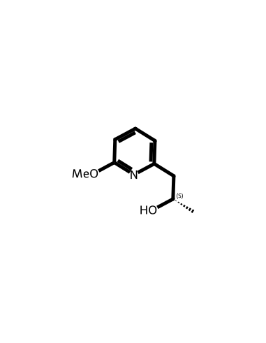 COc1cccc(C[C@H](C)O)n1